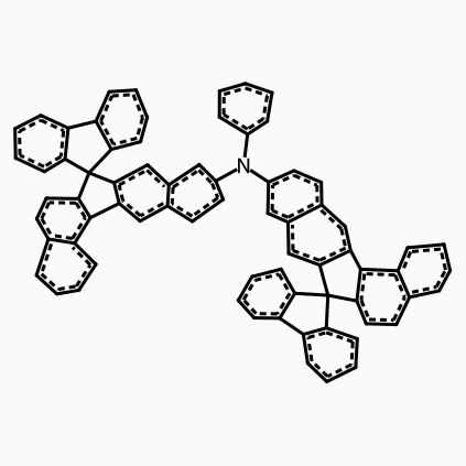 c1ccc(N(c2ccc3cc4c(cc3c2)C2(c3ccccc3-c3ccccc32)c2ccc3ccccc3c2-4)c2ccc3cc4c(cc3c2)C2(c3ccccc3-c3ccccc32)c2ccc3ccccc3c2-4)cc1